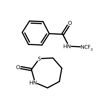 O=C(NNC(F)(F)F)c1ccccc1.O=C1NCCCCS1